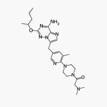 CCCC(C)Oc1nc(N)c2ncc(Cc3cnc(N4CCN(C(=O)CN(C)C)CC4)c(C)c3)n2n1